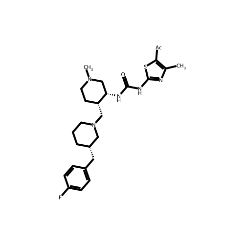 CC(=O)c1sc(NC(=O)N[C@H]2CN(C)CC[C@H]2CN2CCC[C@@H](Cc3ccc(F)cc3)C2)nc1C